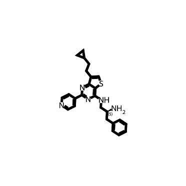 N[C@H](CNc1nc(-c2ccncc2)nc2c(CCC3CC3)csc12)Cc1ccccc1